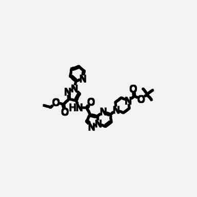 CCOC(=O)c1nn(-c2ccccn2)cc1NC(=O)c1cnn2ccc(N3CCN(C(=O)OC(C)(C)C)CC3)nc12